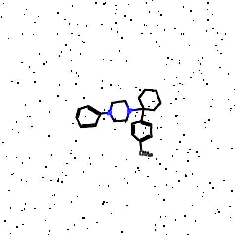 COc1ccc(C2(N3CCN(c4ccccc4)CC3)CCCCC2)cc1